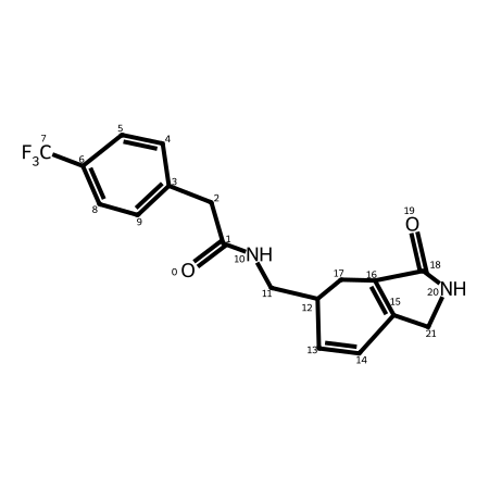 O=C(Cc1ccc(C(F)(F)F)cc1)NCC1C=CC2=C(C1)C(=O)NC2